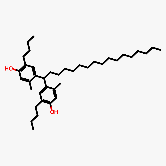 CCCCCCCCCCCCCCCCC(c1cc(CCCC)c(O)cc1C)c1cc(CCCC)c(O)cc1C